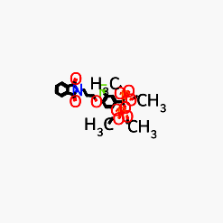 CCOP(=O)(OCC)OC(c1ccc(OCCCN2C(=O)c3ccccc3C2=O)c(F)c1)P(=O)(OCC)OCC